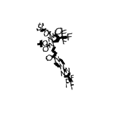 CC(C)(C)OC(=O)N(CCCC(=O)N1CCN(c2ncc(C(F)(F)F)cn2)CC1)c1cc(C(F)(F)F)c(=O)n(COCC[Si](C)(C)C)n1